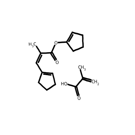 C=C(C)C(=O)O.CC(=CC1=CCCC1)C(=O)OC1=CCCC1